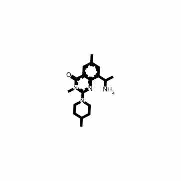 Cc1cc(C(C)N)c2nc(N3CCC(C)CC3)n(C)c(=O)c2c1